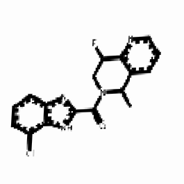 CC1c2cccnc2C(F)CN1C(=O)c1nc2cccc(Cl)c2[nH]1